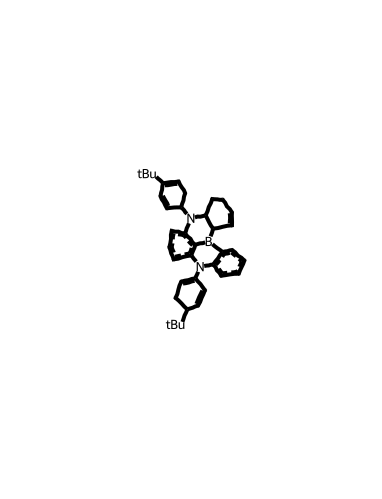 CC(C)(C)C1=CCC(N2c3cccc4c3B(c3ccccc3N4C3=CCC(C(C)(C)C)C=C3)C3C=CCCC32)C=C1